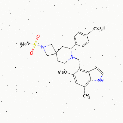 CNS(=O)(=O)N1CC2(CCN(Cc3c(OC)cc(C)c4[nH]ccc34)C(c3ccc(C(=O)O)cc3)C2)C1